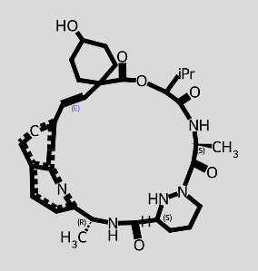 CC(C)C1OC(=O)C2(/C=C/c3ccc4ccc(nc4c3)[C@@H](C)NC(=O)[C@@H]3CCCN(N3)C(=O)[C@H](C)NC1=O)CCC(O)CC2